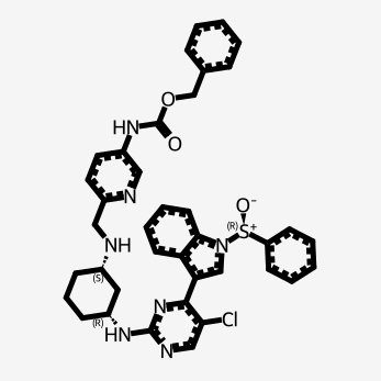 O=C(Nc1ccc(CN[C@H]2CCC[C@@H](Nc3ncc(Cl)c(-c4cn([S@@+]([O-])c5ccccc5)c5ccccc45)n3)C2)nc1)OCc1ccccc1